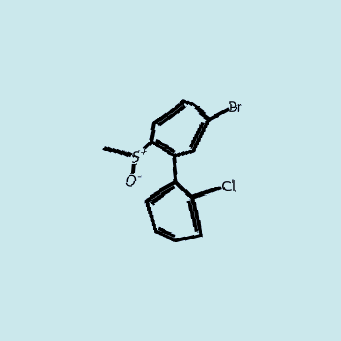 C[S+]([O-])c1ccc(Br)cc1-c1ccccc1Cl